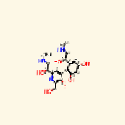 CC(C)(C)NCC(O)c1ccc(O)c(CO)n1.CC(C)NCC(O)c1cc(O)cc(O)c1